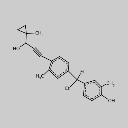 CCC(CC)(c1ccc(O)c(C)c1)c1ccc(C#CC(O)C2(C)CC2)c(C)c1